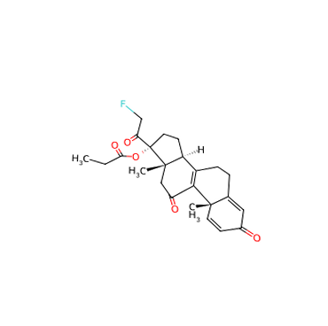 CCC(=O)O[C@]1(C(=O)CF)CC[C@H]2C3=C(C(=O)C[C@@]21C)[C@@]1(C)C=CC(=O)C=C1CC3